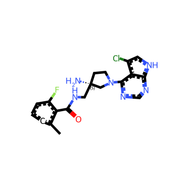 Cc1cccc(F)c1C(=O)NC[C@@]1(N)CCN(c2ncnc3[nH]cc(Cl)c23)C1